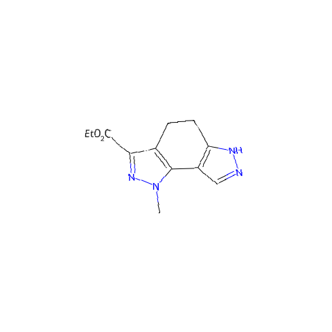 CCOC(=O)c1nn(C)c2c1CCc1[nH]ncc1-2